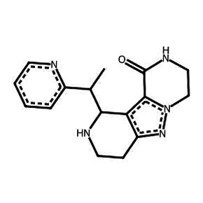 CC(c1ccccn1)C1NCCc2nn3c(c21)C(=O)NCC3